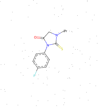 CC(C)N1CC(=O)N(c2ccc(F)cc2)C1=S